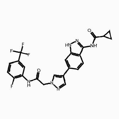 O=C(Cn1cc(-c2ccc3c(NC(=O)C4CC4)n[nH]c3c2)cn1)Nc1cc(C(F)(F)F)ccc1F